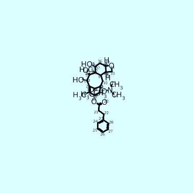 CC1=C2[C@@H](O)C(=O)[C@@]3(C)C(C[C@](ON(C)C)(C[C@@H]1OC(=O)CCc1ccccc1)C2(C)C)[C@@H]1CO[C@@H]1C[C@@H]3O